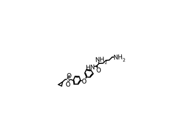 NCCCCC(N)C(=O)Nc1ccc(Oc2ccc(S(=O)(=O)CC3CC3)cc2)cc1